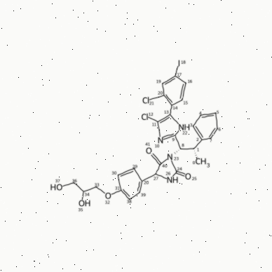 C[C@@H](c1ccccc1)[C@@H](c1nc(Cl)c(-c2ccc(I)cc2Cl)[nH]1)N1C(=O)NC(c2ccc(OCC(O)CO)cc2)C1=O